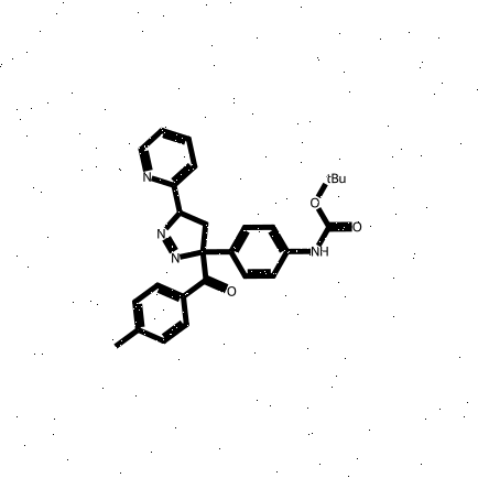 Cc1ccc(C(=O)C2(c3ccc(NC(=O)OC(C)(C)C)cc3)CC(c3ccccn3)N=N2)cc1